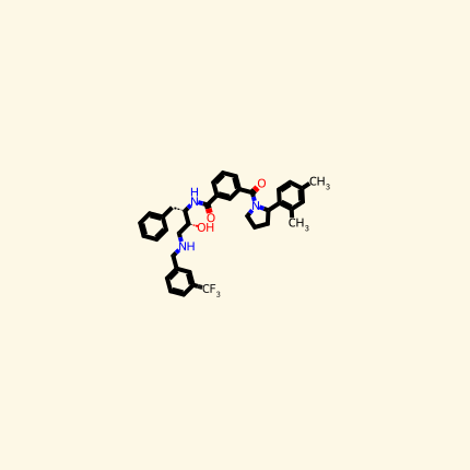 Cc1ccc(C2CCCN2C(=O)c2cccc(C(=O)N[C@@H](Cc3ccccc3)[C@H](O)CNCc3cccc(C(F)(F)F)c3)c2)c(C)c1